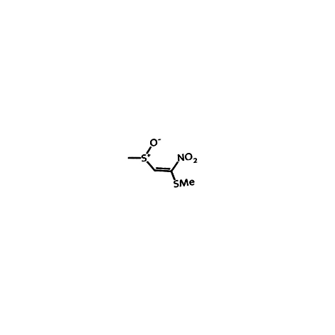 CSC(=C[S+](C)[O-])[N+](=O)[O-]